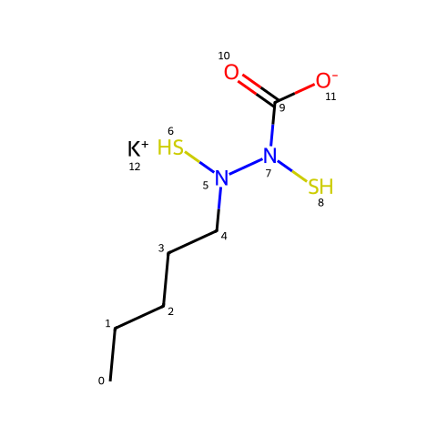 CCCCCN(S)N(S)C(=O)[O-].[K+]